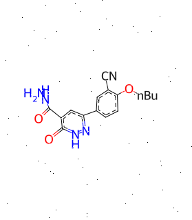 CCCCOc1ccc(-c2cc(C(=O)NN)c(=O)[nH]n2)cc1C#N